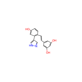 Oc1cc(O)cc(/C=C/c2ccc(O)cc2-c2cn[nH]c2)c1